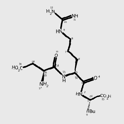 CCCC[C@H](NC(=O)[C@H](CCCNC(=N)N)NC(=O)[C@@H](N)CC(=O)O)C(=O)O